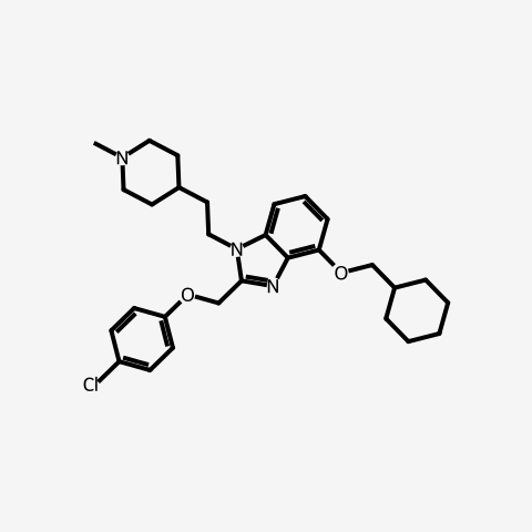 CN1CCC(CCn2c(COc3ccc(Cl)cc3)nc3c(OCC4CCCCC4)cccc32)CC1